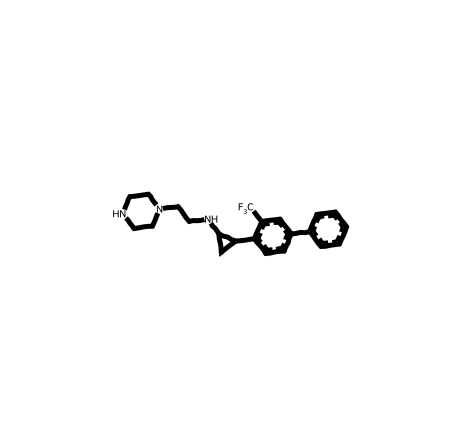 FC(F)(F)c1cc(-c2ccccc2)ccc1C1CC1NCCN1CCNCC1